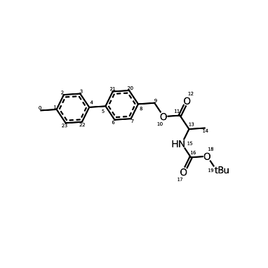 Cc1ccc(-c2ccc(COC(=O)C(C)NC(=O)OC(C)(C)C)cc2)cc1